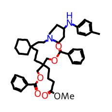 COC(=O)CCCC(CCC1(CCN2CCC(Nc3ccc(C)cc3)CC2)CCCCC1)(COC(=O)c1ccccc1)COC(=O)c1ccccc1